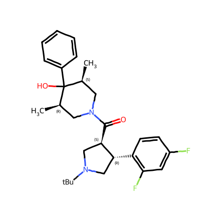 C[C@@H]1CN(C(=O)[C@@H]2CN(C(C)(C)C)C[C@H]2c2ccc(F)cc2F)C[C@H](C)C1(O)c1ccccc1